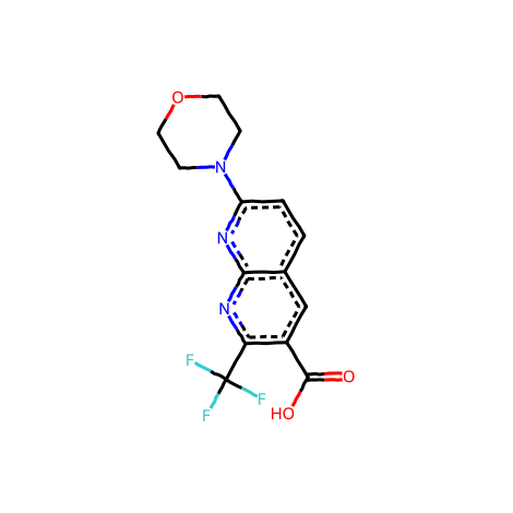 O=C(O)c1cc2ccc(N3CCOCC3)nc2nc1C(F)(F)F